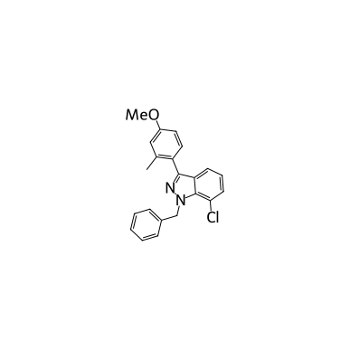 COc1ccc(-c2nn(Cc3ccccc3)c3c(Cl)cccc23)c(C)c1